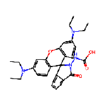 CCN(CC)c1ccc2c(c1)Oc1cc(N(CC)CC)ccc1C21c2ccccc2C(=O)N1NC(=O)O